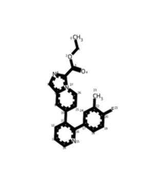 CCOC(=O)c1ncc2cc(-c3cccnc3-c3ccc(F)c(C)c3)ccn12